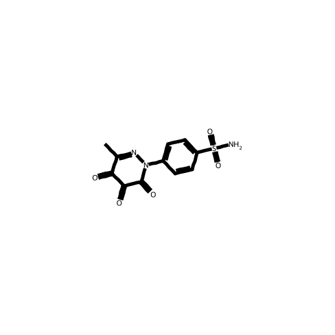 CC1=NN(c2ccc(S(N)(=O)=O)cc2)C(=O)C(=O)C1=O